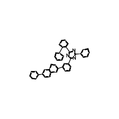 c1ccc(-c2ccc3cc(-c4cccc(-c5nc(-c6ccccc6)nc(-c6ccccc6-c6ccccc6)n5)c4)ccc3c2)cc1